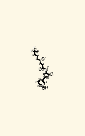 CN(C(=O)CC[S+]([O-])CCCC(F)(F)F)c1sc(-c2ccc[n+](O)c2)nc1Cl